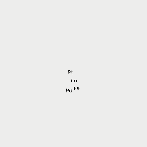 [Co].[Fe].[Pd].[Pt]